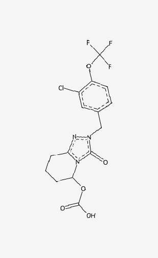 O=C(O)OC1CCCc2nn(Cc3ccc(OC(F)(F)F)c(Cl)c3)c(=O)n21